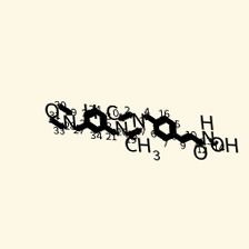 CC1CN(Cc2ccc(/C=C/C(=O)NO)cc2)C[C@@H](C)N1Cc1cccc(CN2CCOCC2)c1